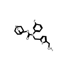 CCc1ccc(CN(C(=O)OC2CN3CCC2CC3)c2cccc(F)c2)s1